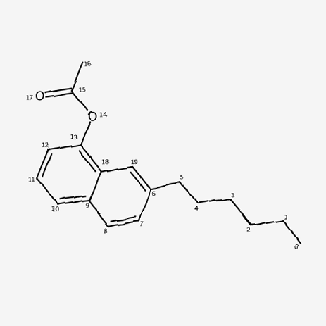 CCCCCCc1ccc2cccc(OC(C)=O)c2c1